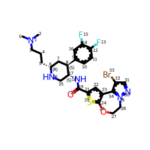 CN(C)CCC[C@@H]1C[C@@H](c2ccc(F)c(F)c2)[C@H](NC(=O)c2cc3c(s2)OCCn2ncc(Br)c2-3)CN1